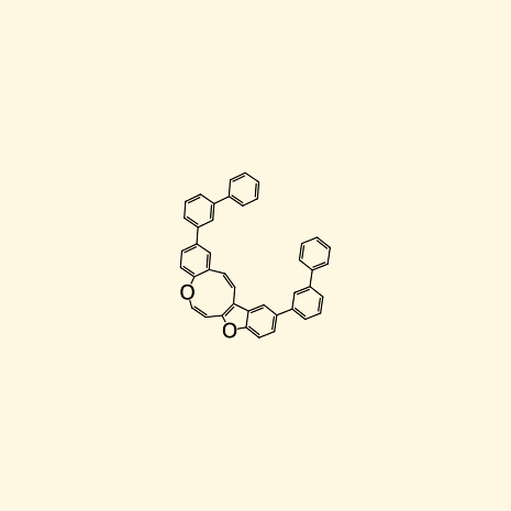 c1ccc(-c2cccc(-c3ccc4occc5oc6ccc(-c7cccc(-c8ccccc8)c7)cc6c5ccc4c3)c2)cc1